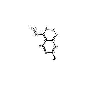 N=Nc1cccc2cc(F)ccc12